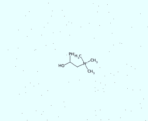 C[N+](C)(C)CC(O)[PH-]